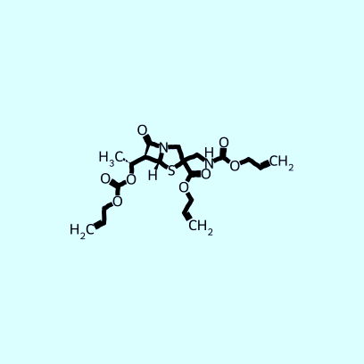 C=CCOC(=O)NCC1(C(=O)OCC=C)CN2C(=O)[C@H]([C@@H](C)OC(=O)OCC=C)[C@H]2S1